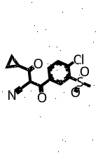 CS(=O)(=O)c1cc(C(=O)C(C#N)C(=O)C2CC2)ccc1Cl